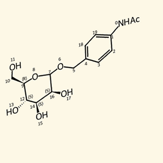 CC(=O)Nc1ccc(COC2O[C@H](CO)[C@@H](O)[C@H](O)[C@@H]2O)cc1